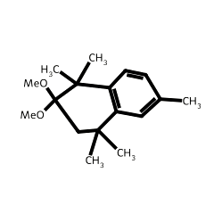 COC1(OC)CC(C)(C)c2cc(C)ccc2C1(C)C